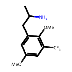 COc1cc(CC(C)N)c(OC)c(C(F)(F)F)c1